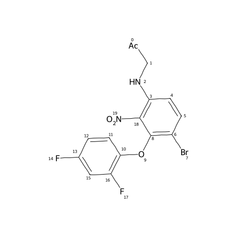 CC(=O)CNc1ccc(Br)c(Oc2ccc(F)cc2F)c1[N+](=O)[O-]